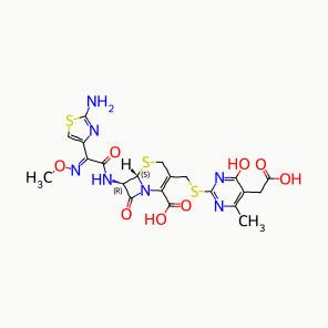 CON=C(C(=O)N[C@@H]1C(=O)N2C(C(=O)O)=C(CSc3nc(C)c(CC(=O)O)c(O)n3)CS[C@@H]12)c1csc(N)n1